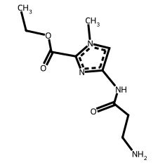 CCOC(=O)c1nc(NC(=O)CCN)cn1C